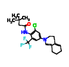 CC(C)(C)CC(=O)Nc1c(Cl)cc(N2C=C3CCCC=C3CC2)cc1C(F)(F)F